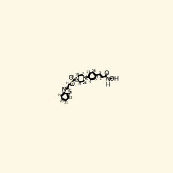 O=C(C=Cc1ccc(N2CCN(C(=O)OCc3nc4ccccc4s3)CC2)cc1)NO